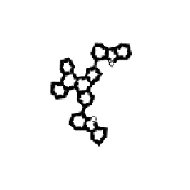 c1ccc2c(c1)oc1c(-c3ccc4c5ccc(-c6cccc7c6oc6ccccc67)cc5c5c6ccccc6c6ccccc6c5c4c3)cccc12